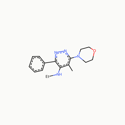 CCNc1c(-c2ccccc2)nnc(N2CCOCC2)c1C